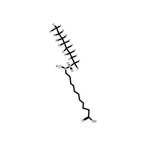 CN(CCCCCCCCCCC(=O)O)S(=O)(=O)C(F)(F)C(F)(F)C(F)(F)C(F)(F)C(F)(F)C(F)(F)C(F)(F)C(F)(F)F